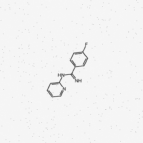 N=C(Nc1ccccn1)c1ccc(F)cc1